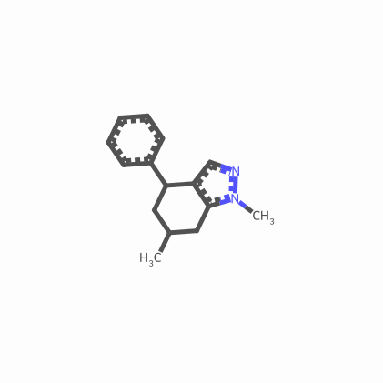 CC1Cc2c(cnn2C)C(c2ccccc2)C1